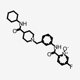 O=C(Nc1cccc(CN2CCC(C(=O)NC3CCCCC3)CC2)c1)c1ccc(F)c[n+]1[O-]